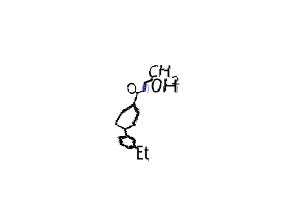 C=C(O)/C=C/C(=O)C1CCC(c2cccc(CC)c2)CC1